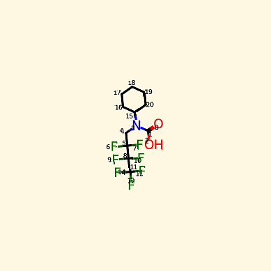 O=C(O)N(CC(F)(F)C(F)(F)C(F)(F)F)C1CCCCC1